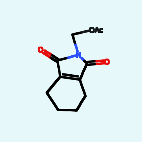 CC(=O)OCN1C(=O)C2=C(CCCC2)C1=O